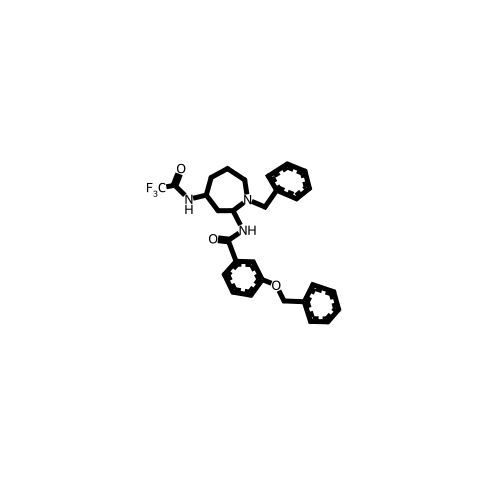 O=C(NC1CC(NC(=O)C(F)(F)F)CCCN1Cc1ccccc1)c1cccc(OCc2ccccc2)c1